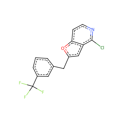 FC(F)(F)c1cccc(Cc2cc3c(Cl)nccc3o2)c1